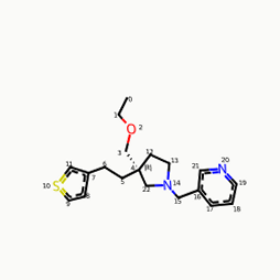 CCOC[C@]1(CCc2ccsc2)CCN(Cc2cccnc2)C1